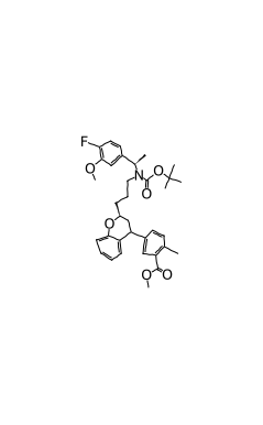 COC(=O)c1cc(C2C[C@H](CCCN(C(=O)OC(C)(C)C)[C@H](C)c3ccc(F)c(OC)c3)Oc3ccccc32)ccc1C